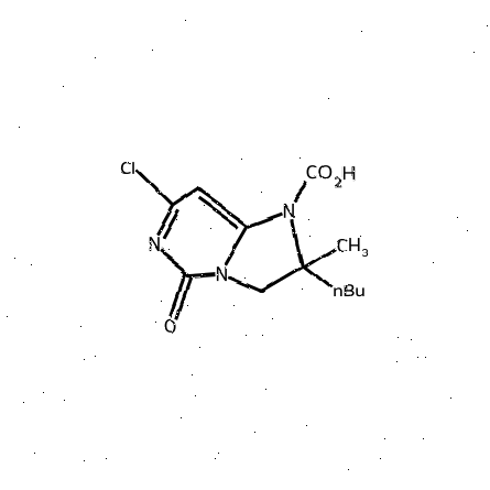 CCCCC1(C)Cn2c(cc(Cl)nc2=O)N1C(=O)O